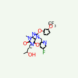 CC(O)CCn1c(=O)c2c(nc(Oc3cccc(OC(F)(F)F)c3)n2Cc2ccc(F)cn2)n(C)c1=O